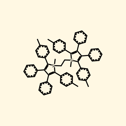 Cc1ccc(C2=C(c3ccccc3)C(c3ccccc3)=C(c3ccc(C)cc3)[Si]2(C)CC[Si]2(C)C(c3ccc(C)cc3)=C(c3ccccc3)C(c3ccccc3)=C2c2ccc(C)cc2)cc1